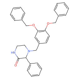 O=C1NCCN(Cc2ccc(OCc3ccccc3)c(OCc3ccccc3)c2)C1c1ccccc1